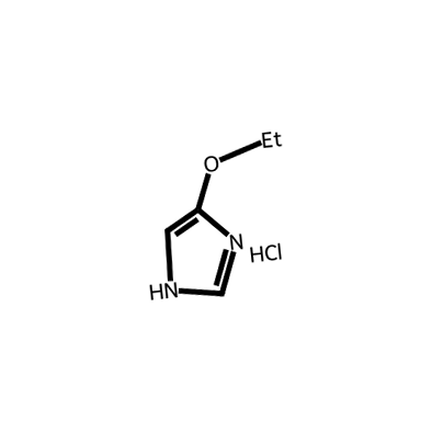 CCOc1c[nH]cn1.Cl